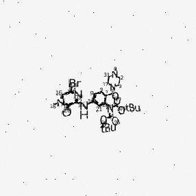 CN1CCN(C(=O)c2ccc(Nc3nc(Br)cn(C)c3=O)cc2N(C(=O)OC(C)(C)C)C(=O)OC(C)(C)C)CC1